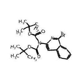 CC(C)(C)OC(=O)N(C(=O)OC(C)(C)C)c1cc2ccccc2c(Br)n1